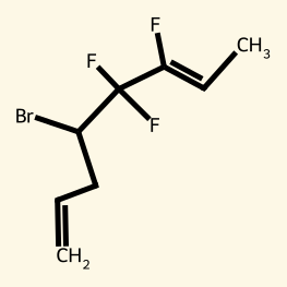 C=CCC(Br)C(F)(F)C(F)=CC